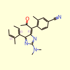 C/C=C(C)\C(=C/C)C1=NC(N(C)C)=N/C1=C(/C(C)=O)c1ccc(C#N)cc1C